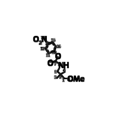 COCC(C)(C)CNC(=O)Oc1ccc([N+](=O)[O-])cc1